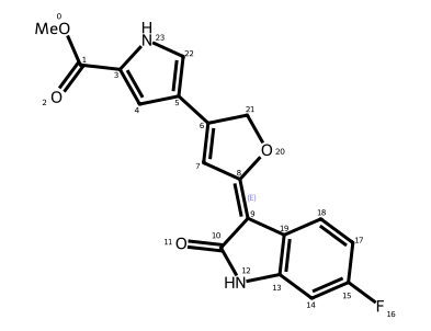 COC(=O)c1cc(C2=C/C(=C3\C(=O)Nc4cc(F)ccc43)OC2)c[nH]1